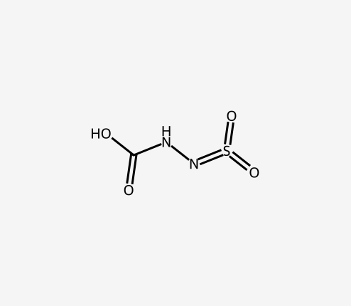 O=C(O)NN=S(=O)=O